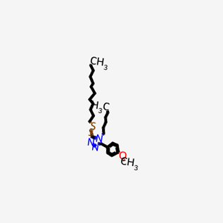 CCCCCCCCCCCCSSc1nnc(-c2ccc(OC)cc2)n1CCCCCC